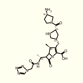 C[C@@H](NC(=O)Cn1cnnn1)C1C(=O)N2C(C(=O)O)=C(S[C@@H]3CN[C@H](C(=O)N4CC[C@@H](N)C4)C3)[C@H](C)C12